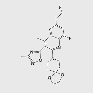 Cc1noc(-c2c(N3CCC4(CC3)OCCO4)nc3c(F)cc(CCF)cc3c2C)n1